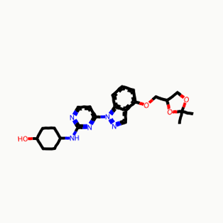 CC1(C)OCC(COc2cccc3c2cnn3-c2ccnc(NC3CCC(O)CC3)n2)O1